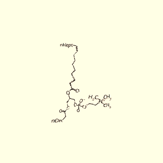 CCCCCCC/C=C\CCCCCCCC(=O)O[C@H](COC(=O)CCCCCCCCCCC)COP(=O)([O-])OCC[N+](C)(C)C